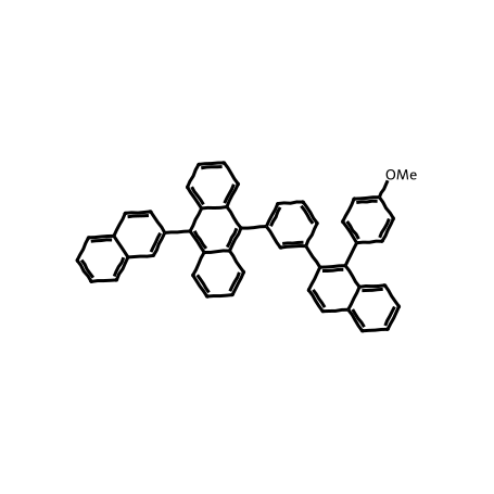 COc1ccc(-c2c(-c3cccc(-c4c5ccccc5c(-c5ccc6ccccc6c5)c5ccccc45)c3)ccc3ccccc23)cc1